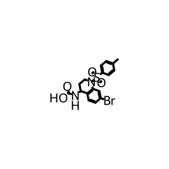 Cc1ccc(S(=O)(=O)N2CCC(NC(=O)O)c3ccc(Br)cc32)cc1